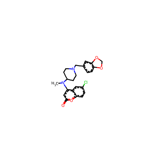 CN(c1cc(=O)oc2ccc(Cl)cc12)C1CCN(Cc2ccc3c(c2)OCO3)CC1